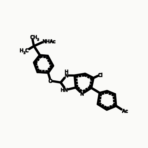 CC(=O)NC(C)(C)c1ccc(OC2Nc3cc(Cl)c(-c4ccc(C(C)=O)cc4)nc3N2)cc1